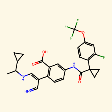 CC(N/C=C(\C=N)c1ccc(NC(=O)C2(c3ccc(OC(F)(F)F)cc3F)CC2)cc1C(=O)O)C1CC1